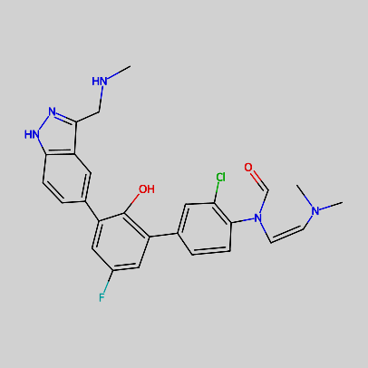 CNCc1n[nH]c2ccc(-c3cc(F)cc(-c4ccc(N(C=O)/C=C\N(C)C)c(Cl)c4)c3O)cc12